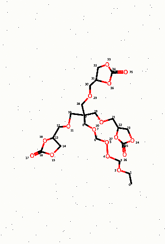 CCOCOOCOCC(COCC1COC(=O)O1)(COCC1COC(=O)O1)COCC1COC(=O)O1